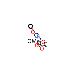 C=C1C(=O)[C@](C)(C(=O)OC)[C@@H](CCN2CCC(OCc3ccccc3)CC2)O[C@H]1C